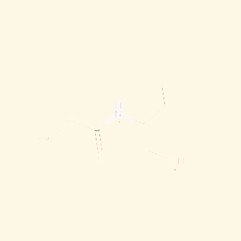 C[C@@H]([C@H](CO)NC(=O)OC(C)(C)C)C(F)(F)F